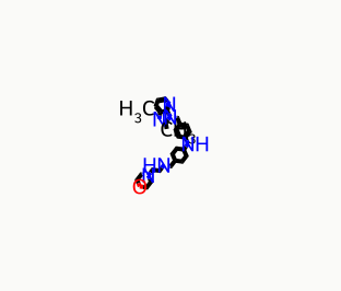 Cc1ccnc2c1nc(C)n2Cc1ccc(NC2CCC(CNCCN3CCOCC3)CC2)cc1